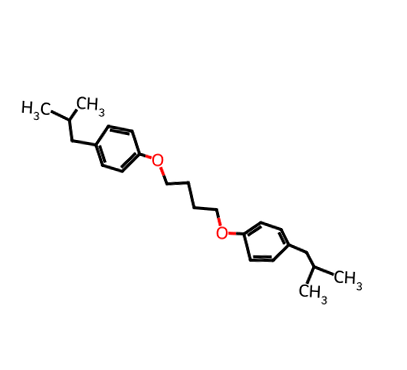 CC(C)Cc1ccc(OCCCCOc2ccc(CC(C)C)cc2)cc1